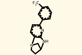 FC(F)(F)c1cccc(-c2ccc3c(n2)NC2CCN3C2)c1